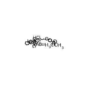 CCCCN1C(=O)[C@@H](CC2(O)CCCCC2)NC(=O)C12CCN(CCCCOc1ccc(C(=O)N(C)C)cc1)CC2.Cl